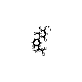 Cn1c(C(F)(F)F)cc(=O)n(-c2ccc3snc(C(Cl)Cl)c3c2)c1=O